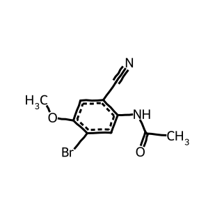 COc1cc(C#N)c(NC(C)=O)cc1Br